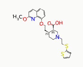 COc1ccc2cccc(OCC[C@@H]3CCN(CCSc4cccs4)C[C@@H]3C(=O)O)c2n1